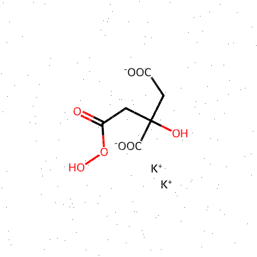 O=C([O-])CC(O)(CC(=O)OO)C(=O)[O-].[K+].[K+]